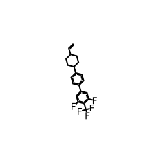 C=CC1CCC(c2ccc(-c3cc(F)c(C(F)(F)F)c(F)c3)cc2)CC1